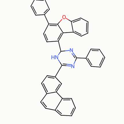 c1ccc(C2=NC(c3ccc(-c4ccccc4)c4oc5ccccc5c34)NC(c3ccc4ccc5ccccc5c4c3)=N2)cc1